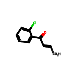 O=C(O)C=CC(=O)c1ccccc1Cl